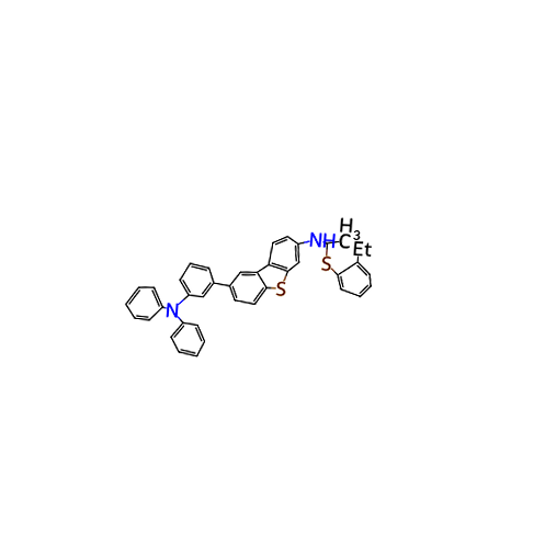 CCc1ccccc1SC(C)Nc1ccc2c(c1)sc1ccc(-c3cccc(N(c4ccccc4)c4ccccc4)c3)cc12